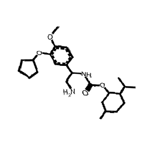 COc1ccc(C(CN)NC(=O)OC2CC(C)CCC2C(C)C)cc1OC1CCCC1